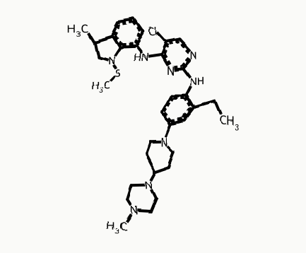 CCc1cc(N2CCC(N3CCN(C)CC3)CC2)ccc1Nc1ncc(Cl)c(Nc2cccc3c2N(SC)CC3C)n1